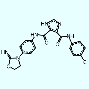 N=C1OCCN1c1ccc(NC(=O)c2[nH]cnc2C(=O)Nc2ccc(Cl)cc2)cc1